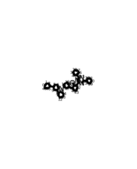 c1ccc(-c2ccc3c(c2)c2ccccc2n3-c2ccc3oc4c(-c5nc(-c6ccccc6)nc(-c6ccccc6)n5)cccc4c3c2)cc1